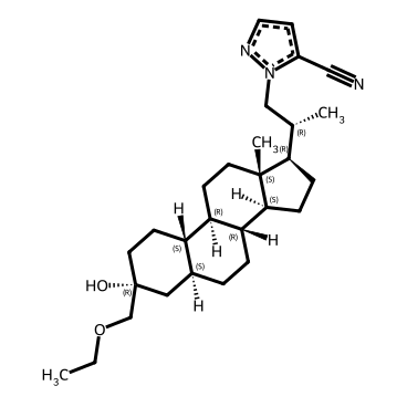 CCOC[C@@]1(O)CC[C@H]2[C@@H](CC[C@@H]3[C@@H]2CC[C@]2(C)[C@@H]([C@@H](C)Cn4nccc4C#N)CC[C@@H]32)C1